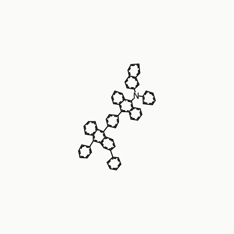 c1ccc(-c2ccc3c(-c4ccc(-c5c6ccccc6c(N(c6ccccc6)c6ccc7ccccc7c6)c6ccccc56)cc4)c4ccccc4c(-c4ccccc4)c3c2)cc1